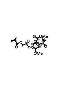 C=C(C)C(=O)OCC(=O)OC1C(OC)C2OC1C(C(=O)OC)C2[SH](=O)=O